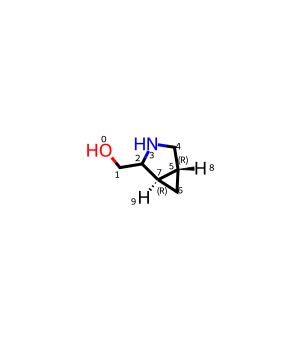 OCC1NC[C@@H]2C[C@@H]12